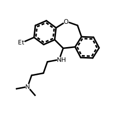 CCc1ccc2c(c1)C(NCCCN(C)C)c1ccccc1CO2